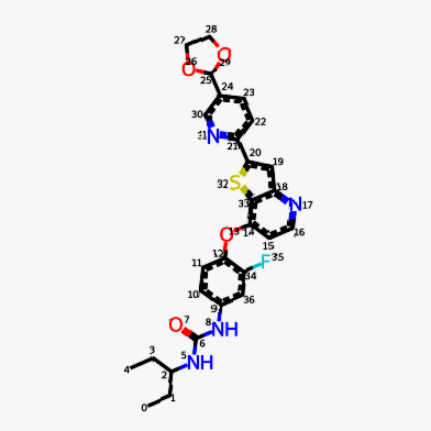 CCC(CC)NC(=O)Nc1ccc(Oc2ccnc3cc(-c4ccc(C5OCCO5)cn4)sc23)c(F)c1